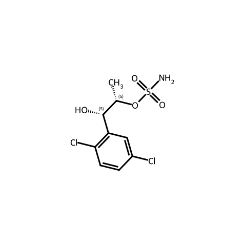 C[C@H](OS(N)(=O)=O)[C@@H](O)c1cc(Cl)ccc1Cl